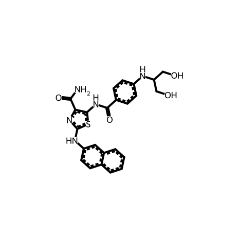 NC(=O)c1nc(Nc2ccc3ccccc3c2)sc1NC(=O)c1ccc(NC(CO)CO)cc1